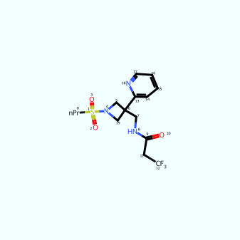 CCCS(=O)(=O)N1CC(CNC(=O)CC(F)(F)F)(c2ccccn2)C1